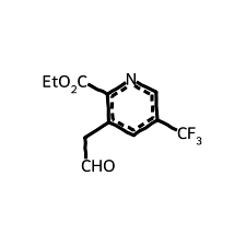 CCOC(=O)c1ncc(C(F)(F)F)cc1CC=O